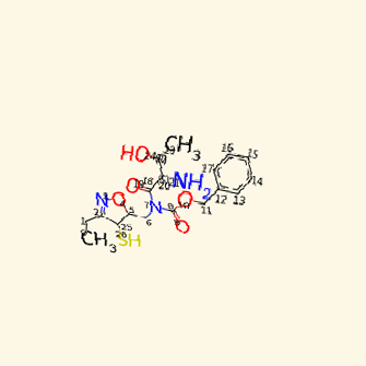 CCC1=NOC(CN(C(=O)OCc2ccccc2)C(=O)[C@@H](N)[C@@H](C)O)C1S